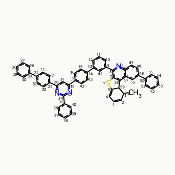 CC1C=CC=C2Sc3c(-c4cccc(-c5ccc(-c6cc(-c7ccc(-c8ccccc8)cc7)nc(-c7ccccc7)n6)cc5)c4)nc4ccc(-c5ccccc5)cc4c3C21